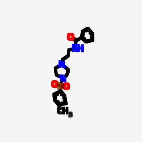 Cc1ccc(S(=O)(=O)N2CCN(CCCNC(=O)c3ccccc3)CC2)cc1